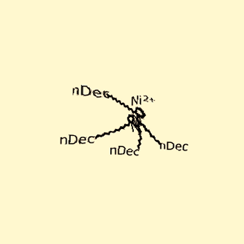 CCCCCCCCCCCCCCCC/C=C/C(=N\c1ccccc1CC/C=C/CCCCCCCCCCCCCCCCCCC)C(/CCCCCCCCCCCCCCCCC)=N\c1ccccc1CC/C=C/CCCCCCCCCCCCCCCCCCC.[Ni+2]